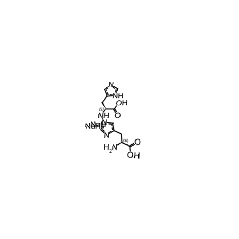 N[C@@H](Cc1cn(N[C@@H](Cc2cnc[nH]2)C(=O)O)cn1)C(=O)O.[NaH].[NaH]